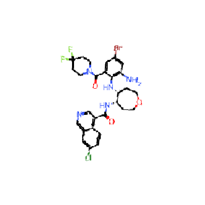 Nc1cc(Br)cc(C(=O)N2CCC(F)(F)CC2)c1N[C@@H]1CCOCC[C@@H]1NC(=O)c1cncc2cc(Cl)ccc12